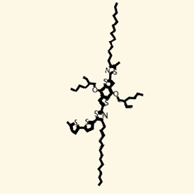 CCCCCCCCCCCCCCc1nc(-c2cc3c(OCC(CC)CCCC)c4sc(-c5nc(CCCCCCCCCCCCCC)c(-c6ccc(-c7ccc(C)s7)s6)s5)cc4c(OCC(CC)CCCC)c3s2)sc1C